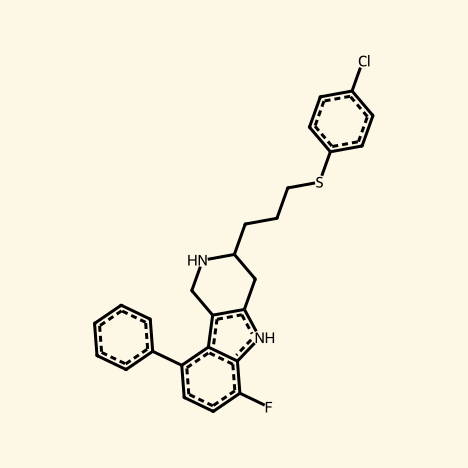 Fc1ccc(-c2ccccc2)c2c3c([nH]c12)CC(CCCSc1ccc(Cl)cc1)NC3